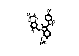 COC1=CC2ON=C(c3c(C)n(Cc4cc(O[C@H](C)C(=O)O)ccc4Cl)c4cc(OC(F)(F)F)ccc34)C2C=C1